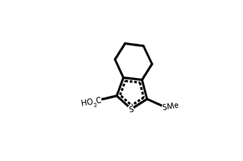 CSc1sc(C(=O)O)c2c1CCCC2